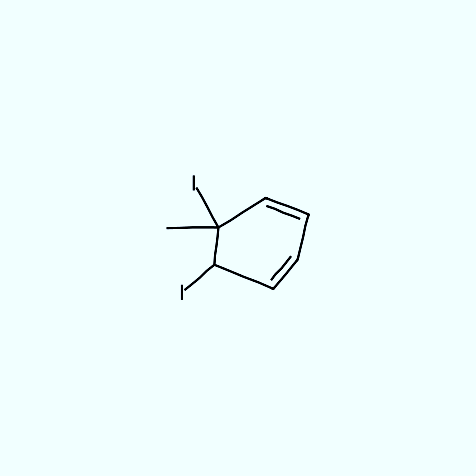 CC1(I)C=CC=CC1I